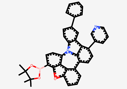 CC1(C)OB(c2ccc3c4c2oc2cccc(c5ccc(-c6cccnc6)c6c7cc(-c8ccccc8)ccc7n3c56)c24)OC1(C)C